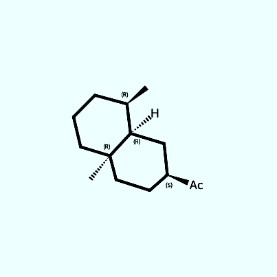 CC(=O)[C@H]1CC[C@@]2(C)CCC[C@@H](C)[C@H]2C1